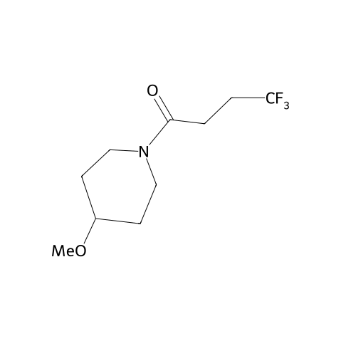 COC1CCN(C(=O)CCC(F)(F)F)CC1